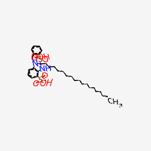 CCCCCCCCCCCCCCCCCCC1(S(=O)(=O)O)Nc2c(cccc2S(=O)(=O)O)N1Cc1ccccc1